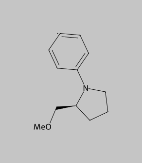 COC[C@@H]1CCCN1c1cc[c]cc1